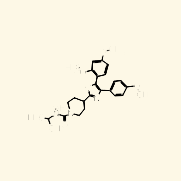 COc1ccc(-c2nc(C3CCN(C(=O)N(O)C(C)C)CC3)oc2-c2ccc(OC)cc2OC)cc1